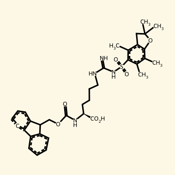 Cc1c(C)c(S(=O)(=O)NC(=N)NCCCC[C@H](NC(=O)OCC2c3ccccc3-c3ccccc32)C(=O)O)c(C)c2c1OC(C)(C)C2